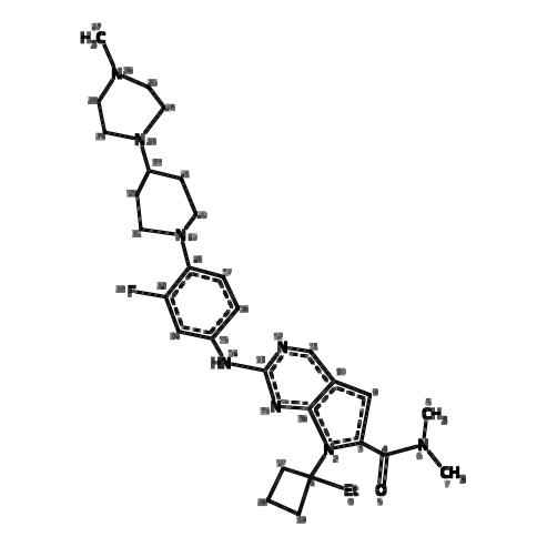 CCC1(n2c(C(=O)N(C)C)cc3cnc(Nc4ccc(N5CCC(N6CCN(C)CC6)CC5)c(F)c4)nc32)CCC1